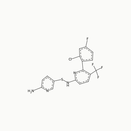 Nc1ccc(SNc2ccc(C(F)(F)F)c(-c3ccc(F)cc3Cl)n2)cn1